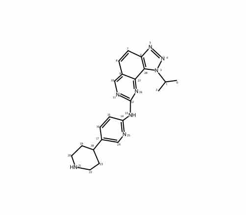 CC(C)n1nnc2ccc3cnc(Nc4ccc(C5CCNCC5)cn4)nc3c21